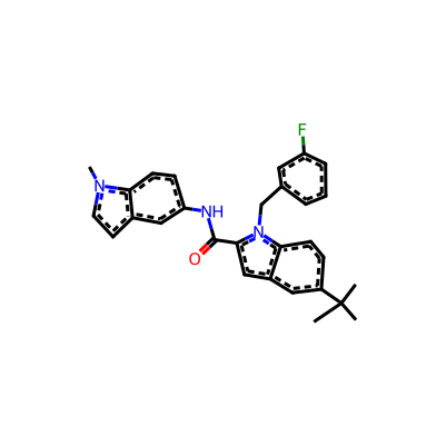 Cn1ccc2cc(NC(=O)c3cc4cc(C(C)(C)C)ccc4n3Cc3cccc(F)c3)ccc21